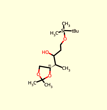 CC(C(O)CCO[Si](C)(C)C(C)(C)C)[C@H]1COC(C)(C)O1